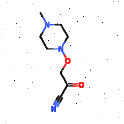 CN1CCN(OCC(=O)C#N)CC1